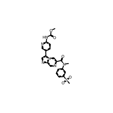 COC(=O)Nc1ccc(-c2cnc3cnc(C(=O)N(C)c4cccc(S(C)(=O)=O)c4)cn23)cn1